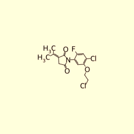 CC(C)=C1CC(=O)N(c2cc(OCCCl)c(Cl)cc2F)C1=O